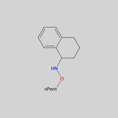 CCCCCONC1CCCc2ccccc21